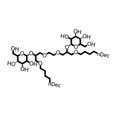 CCCCCCCCCCCCCCOCC(COCCOCC(COCCCCCCCCCCCCCC)O[C@@H]1OC(CO)[C@@H](O)[C@H](O)C1O)O[C@@H]1OC(CO)[C@@H](O)[C@H](O)C1O